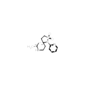 C[C@H]1C[C@]2(CCN1)CCS(=O)(=O)N2c1ccccn1